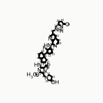 COc1nc(N[C@@H]2CCc3c(-c4cccc(Nc5nccc6cc(CNC[C@@H]7CCC(=O)N7)cnc56)c4F)cccc32)c(C(F)(F)F)nc1CN1CC[C@@H](O)C1